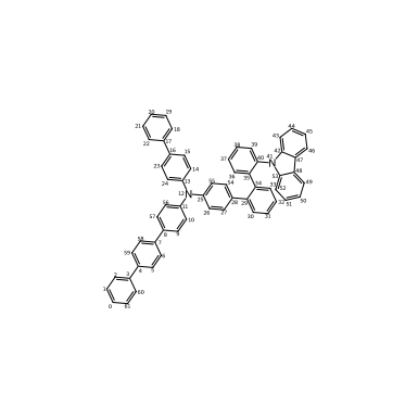 c1ccc(-c2ccc(-c3ccc(N(c4ccc(-c5ccccc5)cc4)c4ccc(-c5ccccc5-c5ccccc5-n5c6ccccc6c6ccccc65)cc4)cc3)cc2)cc1